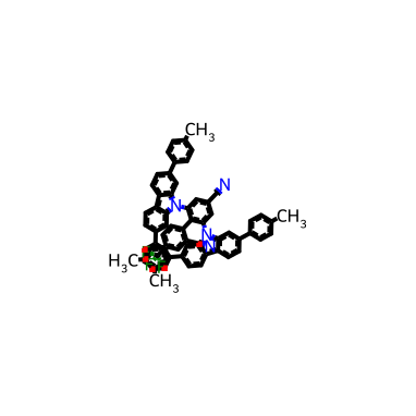 Cc1ccc(-c2ccc3c4ccc(-c5ccc(C)cc5)cc4n(-c4cc(C#N)cc(-n5c6cc(-c7ccc(C)cc7)ccc6c6ccc(-c7ccc(C)cc7)cc65)c4-c4ccc(C(F)(F)F)cc4C#N)c3c2)cc1